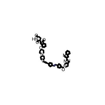 O=C1CCC(N2Cc3c(OC4CCN(C5CCN(CC#Cc6ccc(/C=C/c7ccc(C(=O)N8CCc9cnc(-c%10cnc%11ccccc%11c%10)nc9C8)cc7)cc6)CC5)CC4)cccc3C2=O)C(=O)N1